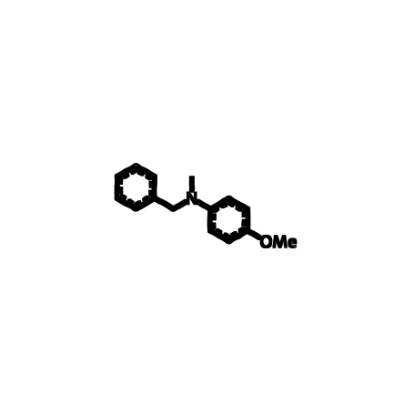 COc1ccc(N(C)Cc2ccccc2)cc1